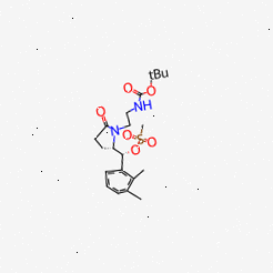 Cc1cccc([C@@H](OS(C)(=O)=O)[C@@H]2CCC(=O)N2CCNC(=O)OC(C)(C)C)c1C